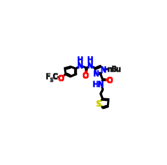 CCCCn1cc(NC(=O)Nc2ccc(OC(F)(F)F)cc2)nc1C(=O)NCCc1cccs1